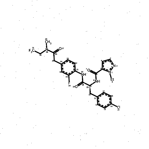 CCn1nccc1C(=O)N[C@@H](Cc1ccc(Cl)cc1)C(=O)Nc1ccc(CC(=O)N(C)CC(F)(F)F)cc1F